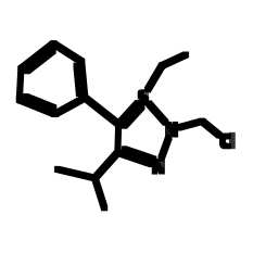 CCS1=C(c2ccccc2)C(C(C)C)=NN1CCl